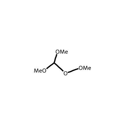 COOC(OC)OC